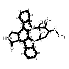 CNC1CC2OC(C)(C1O)n1c3ccccc3c3c4c(c5c6ccccc6n2c5c31)C(=O)NC4